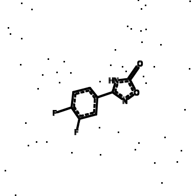 O=c1[nH]c(-c2ccc(F)c(F)c2)no1